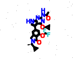 CC(=O)Nc1nc(OC2CC2)c2c(-c3cc4c(c(OC(F)F)c3)C(=O)N([C@@H](C)C3CC3)C4)c[nH]c2n1